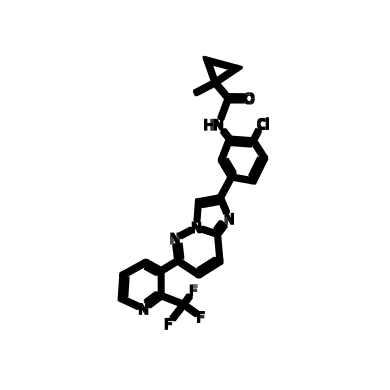 CC1(C(=O)Nc2cc(-c3cn4nc(-c5cccnc5C(F)(F)F)ccc4n3)ccc2Cl)CC1